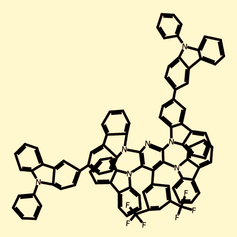 FC(F)(F)c1cc(-c2c(-n3c4ccccc4c4ccccc43)c(-n3c4ccccc4c4cc(-c5ccc6c(c5)c5ccccc5n6-c5ccccc5)ccc43)nc(-n3c4ccccc4c4cc(-c5ccc6c(c5)c5ccccc5n6-c5ccccc5)ccc43)c2-n2c3ccccc3c3ccccc32)cc(C(F)(F)F)c1